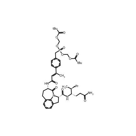 C/C(=C\C(=O)N[C@H]1CCc2cccc3c2N(C1=O)[C@H](C(=O)N[C@@H](CCC(N)=O)[C@@H](C)C(C)C)C3)c1ccc(CP(=O)(OCOC(=O)C(C)(C)C)OCOC(=O)C(C)(C)C)cc1